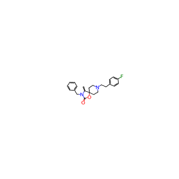 C=C1N(Cc2ccccc2)C(=O)OC12CCN(CCc1ccc(F)cc1)CC2